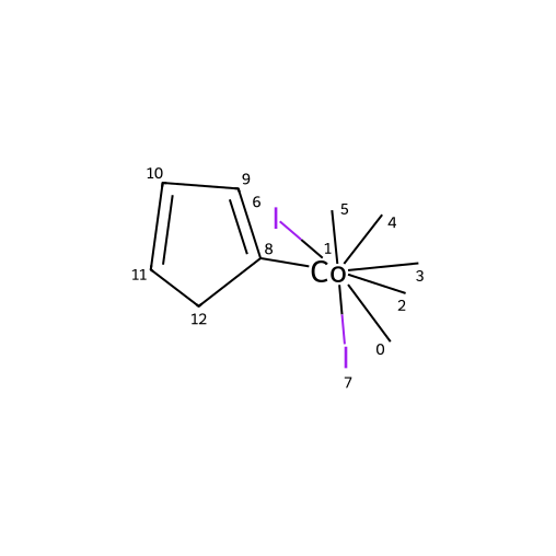 [CH3][Co]([CH3])([CH3])([CH3])([CH3])([I])([I])[C]1=CC=CC1